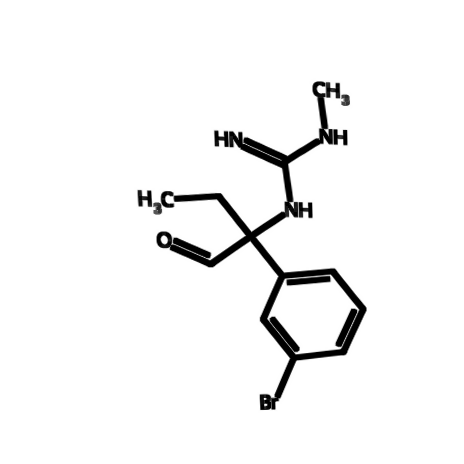 CCC(C=O)(NC(=N)NC)c1cccc(Br)c1